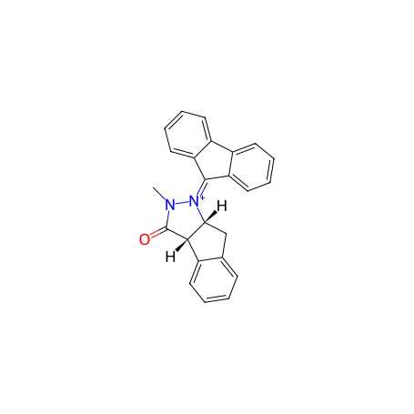 CN1C(=O)[C@H]2c3ccccc3C[C@H]2[N+]1=C1c2ccccc2-c2ccccc21